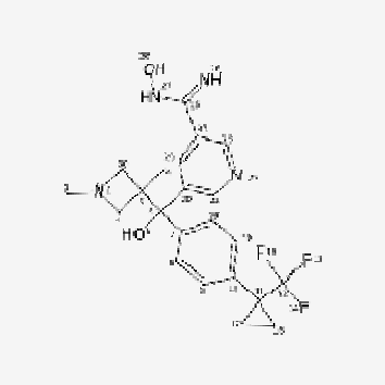 CN1CC(C)(C(O)(c2ccc(C3(C(F)(F)F)CC3)cc2)c2cncc(C(=N)NO)c2)C1